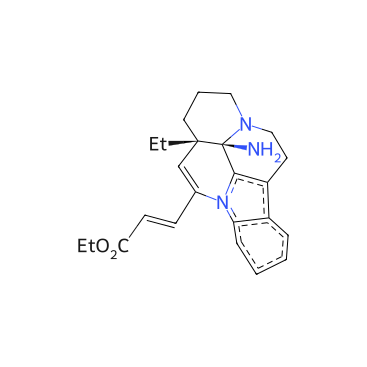 CCOC(=O)/C=C/C1=C[C@]2(CC)CCCN3CCc4c(n1c1ccccc41)[C@@]32N